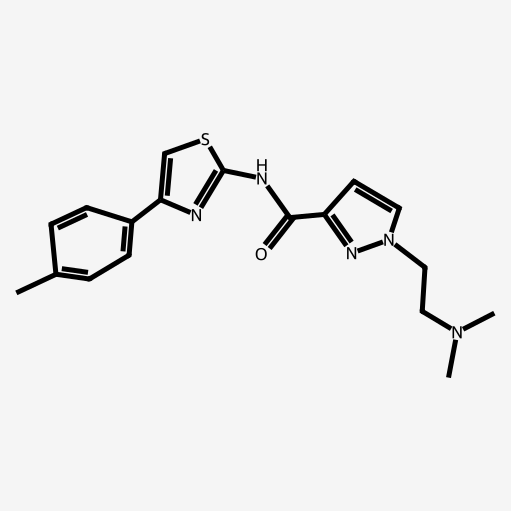 Cc1ccc(-c2csc(NC(=O)c3ccn(CCN(C)C)n3)n2)cc1